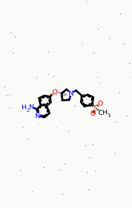 CS(=O)(=O)c1ccc(CN2CC[C@H](Oc3ccc4c(N)nccc4c3)C2)cc1